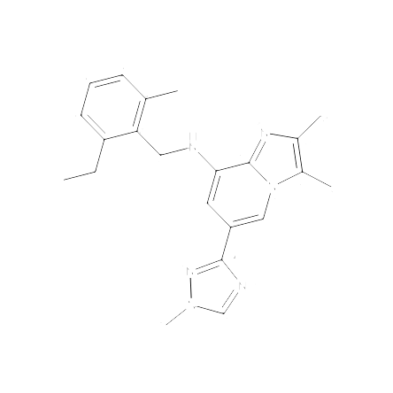 CCc1cccc(C)c1CNc1cc(-c2ncn(C)n2)cn2c(C)c(C)nc12